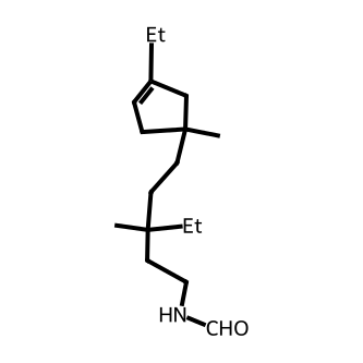 CCC1=CCC(C)(CCC(C)(CC)CCNC=O)C1